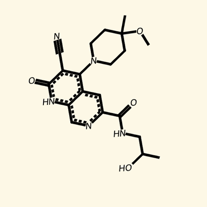 COC1(C)CCN(c2c(C#N)c(=O)[nH]c3cnc(C(=O)NCC(C)O)cc23)CC1